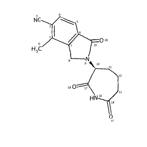 Cc1c(C#N)ccc2c1CN([C@H]1CCCC(=O)NC1=O)C2=O